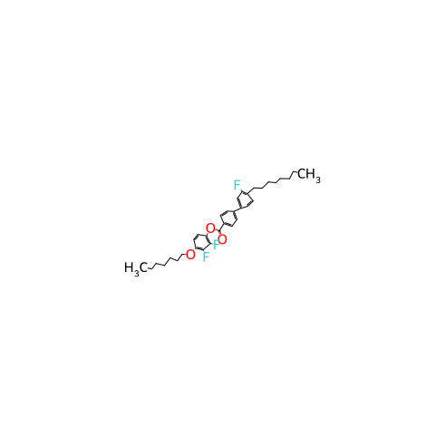 CCCCCCCCc1ccc(-c2ccc(C(=O)Oc3ccc(OCCCCCCC)c(F)c3F)cc2)cc1F